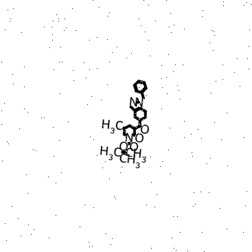 CC1CC(C(=O)C2CCc3c(cnn3Cc3ccccc3)C2)C(=O)N(C(=O)OC(C)(C)C)C1